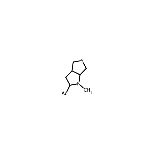 CC(=O)C1CC2CSCC2N1C